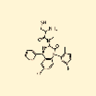 Cc1ccc(F)cc1N1C(=O)C(N(C)C(=O)C(N)CS)N=C(c2ccccc2)c2cc(Cl)ccc21